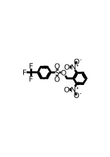 O=[N+]([O-])c1cccc([N+](=O)[O-])c1COS(=O)(=O)c1ccc(C(F)(F)F)cc1